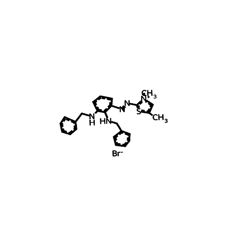 Cc1c[n+](C)c(N=Nc2cccc(NCc3ccccc3)c2NCc2ccccc2)s1.[Br-]